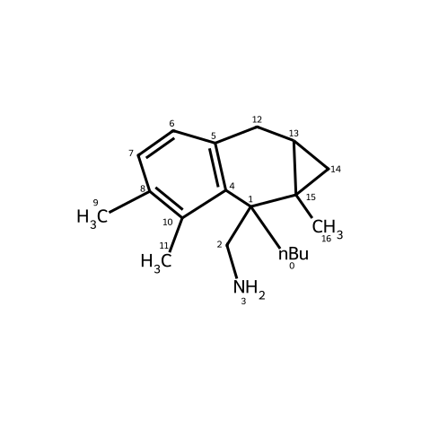 CCCCC1(CN)c2c(ccc(C)c2C)CC2CC21C